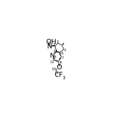 ON=C1CCCc2cc(OCC(F)(F)F)cnc21